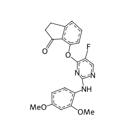 COc1ccc(Nc2ncc(F)c(Oc3cccc4c3C(=O)CC4)n2)c(OC)c1